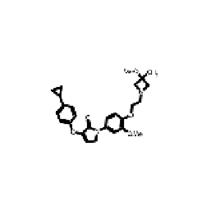 COc1cc(N2CC=C(Oc3ccc(C4CC4)cc3)C2=O)ccc1OCCN1CC(C)(OC)C1